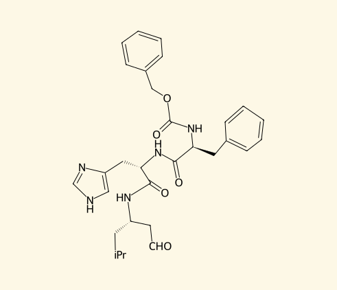 CC(C)C[C@@H](CC=O)NC(=O)[C@H](Cc1c[nH]cn1)NC(=O)[C@H](Cc1ccccc1)NC(=O)OCc1ccccc1